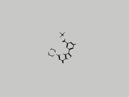 CC(C)(C)OC(=O)c1cc(N)cc(-c2csc3c(=O)cc(N4CCOCC4)oc23)c1